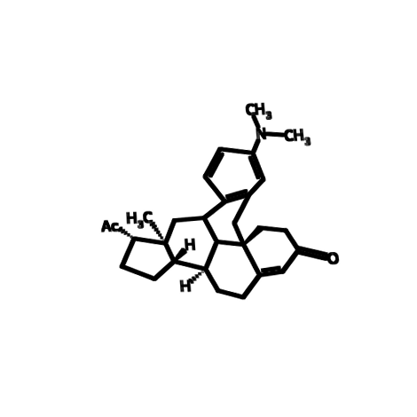 CC(=O)[C@H]1CC[C@H]2[C@@H]3CCC4=CC(=O)CC[C@@]45Cc4cc(N(C)C)ccc4C(C[C@]12C)C35